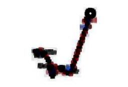 COc1cc2c(cc1OCCCCCOc1cc3c(cc1OC)C(=O)N1C=C(C)C[C@H]1[C@H](O)N3C(=O)OCc1ccc(NC(=O)[C@H](C)NC(=O)[C@@H](NC(=O)CCOCCOCCOCCOCCOCCOCCOCCOCCNC(=O)CCN3C(=O)CC(C4CCCCCCCCCCC4)C3O)C(C)C)cc1)N=C[C@@H]1CC(C)=CN1C2=O